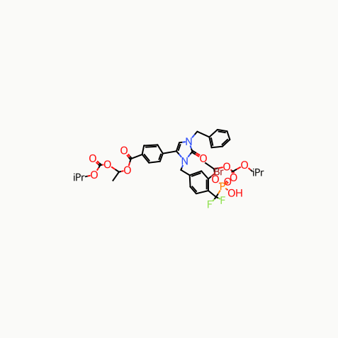 CC(C)OC(=O)OC(C)OC(=O)c1ccc(-c2cn(Cc3ccccc3)c(=O)n2Cc2ccc(C(F)(F)P(=O)(O)OC(C)OC(=O)OC(C)C)c(Br)c2)cc1